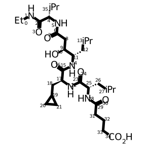 CCNC(=O)[C@@H](NC(=O)C[C@H](O)[C@H](CC(C)C)NC(=O)[C@H](CC1CC1)NC(=O)[C@H](CC(C)C)NC(=O)CCCC(=O)O)C(C)C